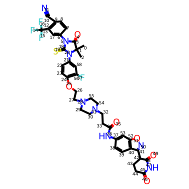 CC1(C)C(=O)N(c2ccc(C#N)c(C(F)(F)F)c2)C(=S)N1c1ccc(OCCN2CCN(CCC(=O)Nc3ccc4c(C5CCC(=O)NC5=O)noc4c3)CC2)c(F)c1